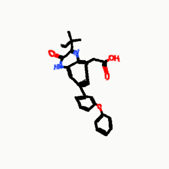 CC(C)(C)c1nc2c(CC(=O)O)cc(-c3cccc(Oc4ccccc4)c3)cc2[nH]c1=O